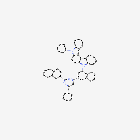 c1ccc(-c2cc(-c3cc(-n4c5ccccc5c5c6c7ccccc7n(-c7ccccc7)c6ccc54)c4ccccc4c3)nc(-c3ccc4ccccc4c3)n2)cc1